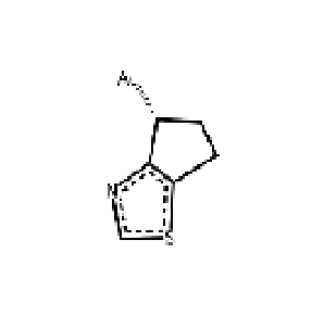 CC(=O)[C@@H]1CCc2scnc21